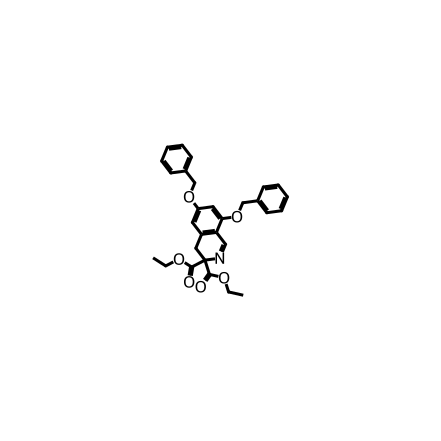 CCOC(=O)C1(C(=O)OCC)Cc2cc(OCc3ccccc3)cc(OCc3ccccc3)c2C=N1